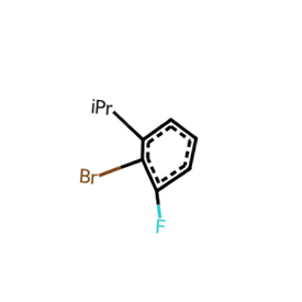 [CH2]C(C)c1cccc(F)c1Br